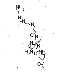 Cc1c(CC(=O)N(C)C)ccc(NC(=O)c2nn([C@@H]3CCCN(C(=O)/C=C/CN(C)CCCN4CCN(CCCN)CC4)C3)c3ncnc(N)c23)c1C